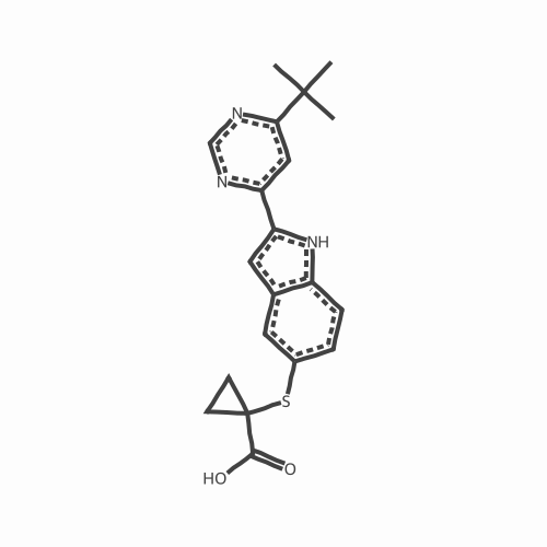 CC(C)(C)c1cc(-c2cc3cc(SC4(C(=O)O)CC4)ccc3[nH]2)ncn1